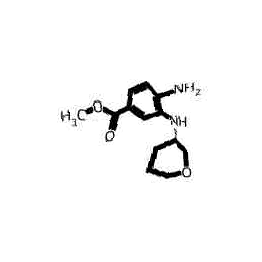 COC(=O)c1ccc(N)c(N[C@H]2CCCOC2)c1